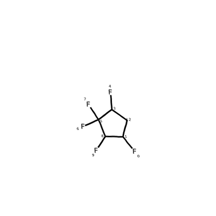 FC1[CH]C(F)C(F)(F)C1F